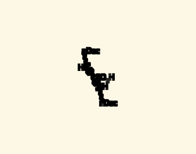 C=C(CCCCCCCCCCCCCCC)Nc1ccc(/C=C/c2ccc(NC(=C)CCCCCCCCCCCCCCC)cc2S(=O)(=O)O)cc1